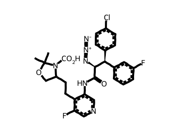 CC1(C)OCC(CCc2c(F)cncc2NC(=O)[C@@H](N=[N+]=[N-])[C@@H](c2ccc(Cl)cc2)c2cccc(F)c2)N1C(=O)O